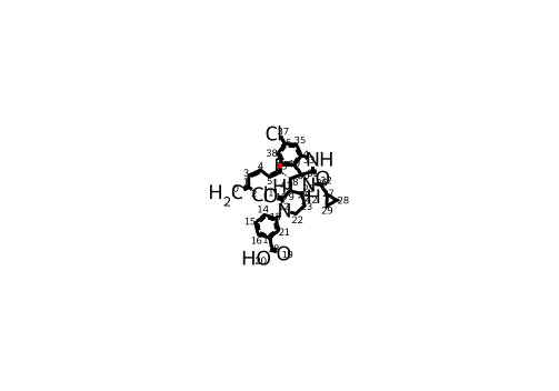 C=C(Cl)/C=C\C=C(/F)[C@H]1[C@@H]2C(=O)N(c3cccc(C(=O)O)c3)CC[C@@H]2N(CC2CC2)[C@@]12C(=O)Nc1cc(Cl)ccc12